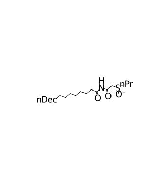 CCCCCCCCCCCCCCCCCC(=O)NC(=O)C[S+]([O-])CCC